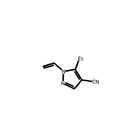 C=Cn1ncc(C#N)c1CC